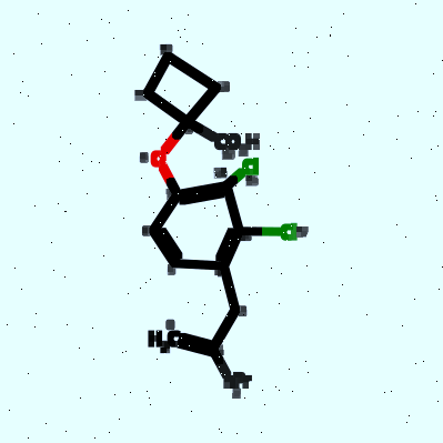 C=C(CCC)Cc1ccc(OC2(C(=O)O)CCC2)c(Cl)c1Cl